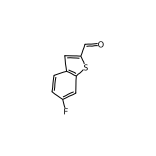 O=Cc1cc2ccc(F)cc2s1